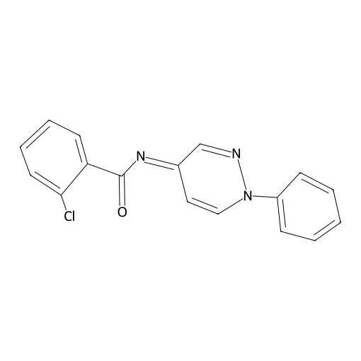 O=C(/N=c1\ccn(-c2ccccc2)nc1)c1ccccc1Cl